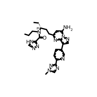 CCCN(C(=O)c1nnc[nH]1)[C@H](CC)CCc1cc(N)n2ncc(-c3ccc(-c4ncn(C)n4)nc3)c2n1